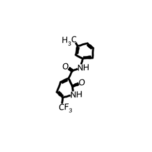 Cc1cccc(NC(=O)c2ccc(C(F)(F)F)[nH]c2=O)c1